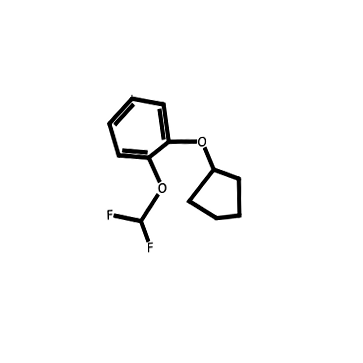 FC(F)Oc1cc[c]cc1OC1CCCC1